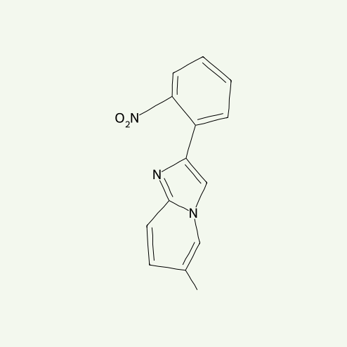 Cc1ccc2nc(-c3ccccc3[N+](=O)[O-])cn2c1